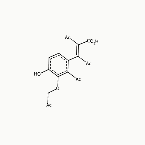 CC(=O)COc1c(O)ccc(/C(C(C)=O)=C(\C(C)=O)C(=O)O)c1C(C)=O